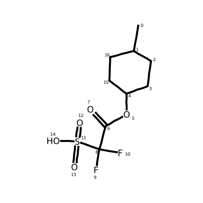 CC1CCC(OC(=O)C(F)(F)S(=O)(=O)O)CC1